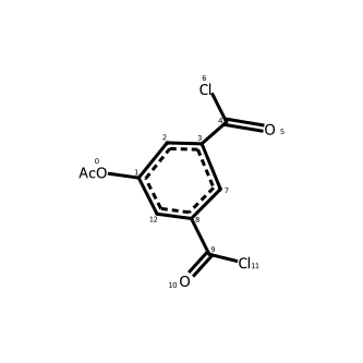 CC(=O)Oc1cc(C(=O)Cl)cc(C(=O)Cl)c1